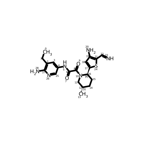 CCc1cc(NC(=O)C(=O)N2C[C@@H](C)CC[C@@H]2c2cc(N)c(C=N)s2)cnc1N